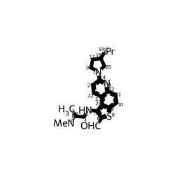 CN[C@H](C)CNc1c(C=O)sc2ccc3nc(N4CCC(C(C)C)C4)ccc3c12